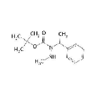 CNN(C(=O)OC(C)(C)C)C(C)c1ccccc1